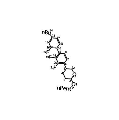 CCCCCOC1CCC(c2ccc(-c3ccc(CCCC)cc3F)c(F)c2F)CO1